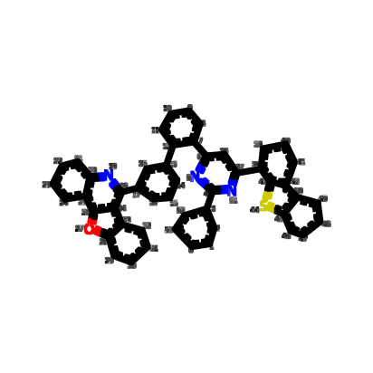 c1ccc(-c2nc(-c3ccccc3-c3cccc(-c4nc5ccccc5c5oc6ccccc6c45)c3)cc(-c3cccc4c3sc3ccccc34)n2)cc1